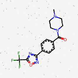 CN1CCN(C(=O)c2ccc(-c3noc(C(F)(F)F)n3)cc2)CC1